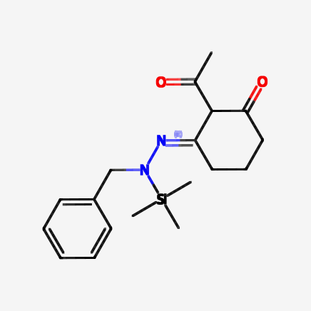 CC(=O)C1C(=O)CCC/C1=N\N(Cc1ccccc1)[Si](C)(C)C